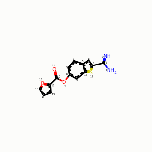 N=C(N)c1cc2ccc(OC(=O)c3ccco3)cc2s1